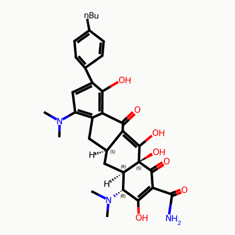 CCCCc1ccc(-c2cc(N(C)C)c3c(c2O)C(=O)C2=C(O)[C@]4(O)C(=O)C(C(N)=O)=C(O)[C@H](N(C)C)[C@H]4C[C@H]2C3)cc1